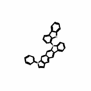 c1ccc(-n2ccc3cc4cc5c6ccccc6n(-c6cccc7c6sc6ccccc67)c5cc4cc32)cc1